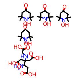 CC1(C)CC(=O)CC(C)(C)N1O.CC1(C)CC(=O)CC(C)(C)N1O.CC1(C)CC(=O)CC(C)(C)N1O.CC1(C)CC(=O)CC(C)(C)N1O.NC(CC(=O)O)C(CC(=O)O)(CC(=O)O)NCC(=O)O